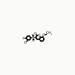 CCOc1cccc2cc(S(=O)(=O)c3ccc(F)c(Cl)c3)c(=O)oc12